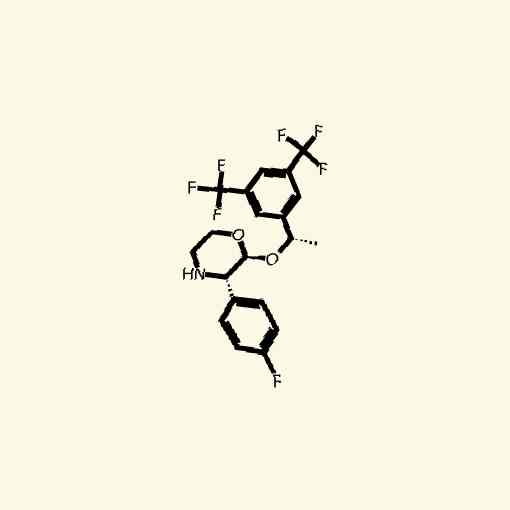 C[C@H](O[C@@H]1OCCN[C@H]1c1ccc(F)cc1)c1cc(C(F)(F)F)cc(C(F)(F)F)c1